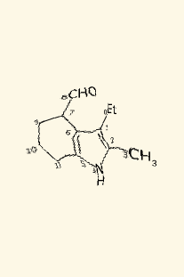 CCc1c(C)[nH]c2c1C(C=O)CCC2